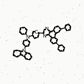 c1ccc(-c2ccc3c(c2)c2cc(-c4ccccc4)ccc2c2nc(-c4ccc(N(c5ccccc5)c5ccc(-n6c7ccccc7c7ccccc76)cc5)cc4)cnc32)cc1